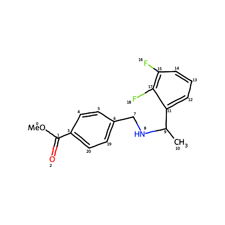 COC(=O)c1ccc(CNC(C)c2cccc(F)c2F)cc1